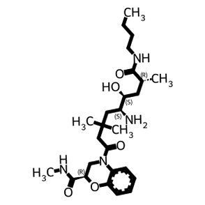 CCCCNC(=O)[C@H](C)C[C@H](O)[C@@H](N)CC(C)(C)CC(=O)N1C[C@H](C(=O)NC)Oc2ccccc21